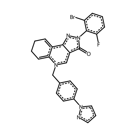 O=c1c2cn(Cc3ccc(-n4cccn4)cc3)c3c(c-2nn1-c1c(F)cccc1Br)=CCCC=3